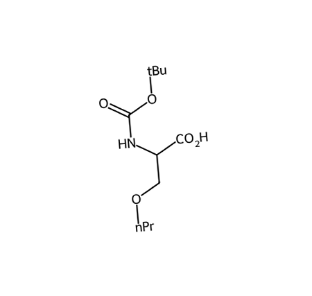 CCCOCC(NC(=O)OC(C)(C)C)C(=O)O